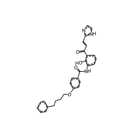 O=C(Nc1cccc(C(=O)/C=C/c2ncc[nH]2)c1O)c1ccc(OCCCCc2ccccc2)cc1